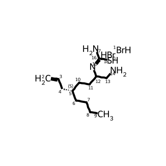 Br.Br.C=CC[C@@H](CCCC)CCC(CN)N=C(N)S